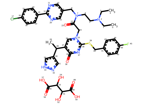 CCN(CC)CCN(Cc1cnc(-c2ccc(Cl)cc2)nc1)C(=O)Cn1cc(C(C)c2cn[nH]c2)c(=O)nc1SCc1ccc(F)cc1.O=C(O)C(O)C(O)C(=O)O